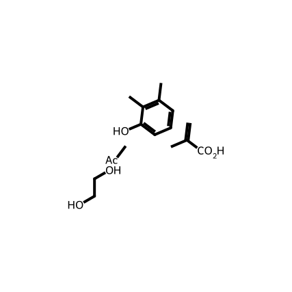 C=C(C)C(=O)O.CC(C)=O.Cc1cccc(O)c1C.OCCO